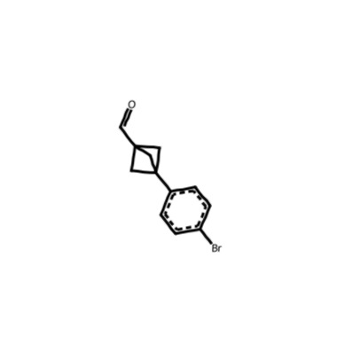 O=CC12CC(c3ccc(Br)cc3)(C1)C2